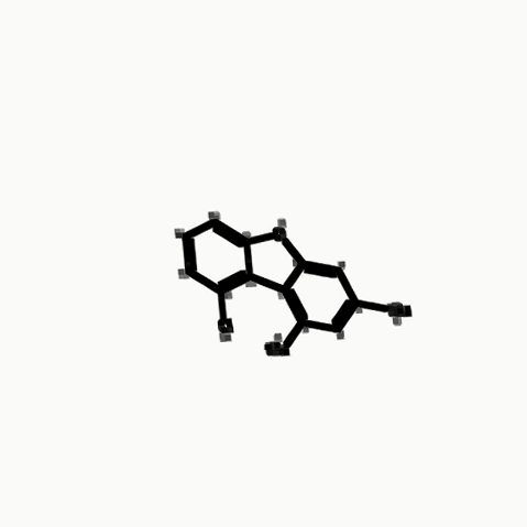 CC(C)(C)c1cc(C(C)(C)C)c2c(c1)oc1cccc(Cl)c12